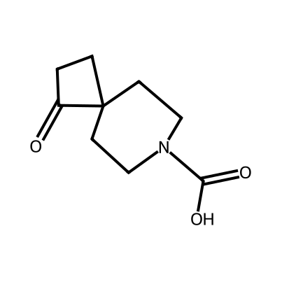 O=C(O)N1CCC2(CCC2=O)CC1